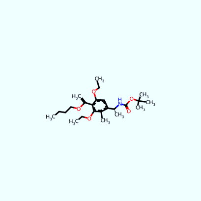 C=C(OCCCC)c1c(OCC)cc([C@@H](C)NC(=O)OC(C)(C)C)c(C)c1OCC